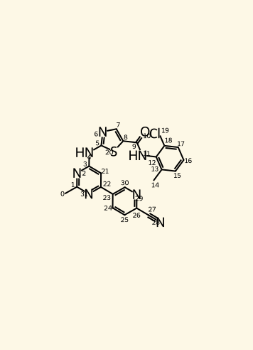 Cc1nc(Nc2ncc(C(=O)Nc3c(C)cccc3Cl)s2)cc(-c2ccc(C#N)nc2)n1